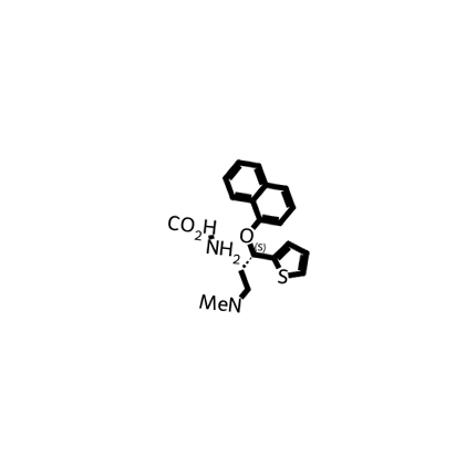 CNCC[C@H](Oc1cccc2ccccc12)c1cccs1.NC(=O)O